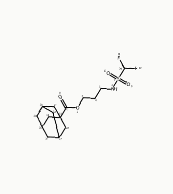 O=C(OCCCNS(=O)(=O)C(F)F)C12CC3CC(CC(C3)C1)C2